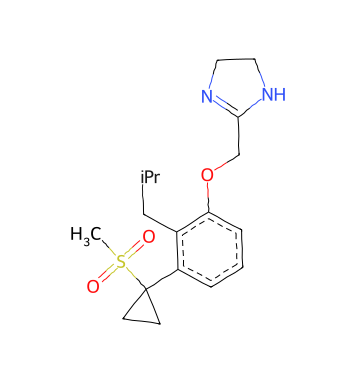 CC(C)Cc1c(OCC2=NCCN2)cccc1C1(S(C)(=O)=O)CC1